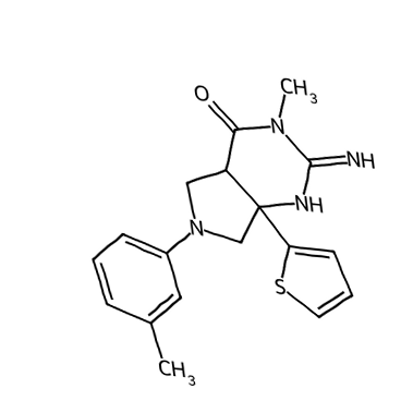 Cc1cccc(N2CC3C(=O)N(C)C(=N)NC3(c3cccs3)C2)c1